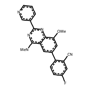 CNc1nc(-c2cccnc2)nc2c(OC)cc(-c3ccc(F)cc3C#N)cc12